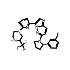 Fc1cccc([C@H]2CCCN2c2ccc3ncc(-c4cccc(N5CCNC(C(F)(F)F)C5)n4)n3n2)c1